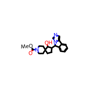 COC(=O)N1CCC2(CCC(C3c4ccccc4-c4cncn43)C2O)CC1